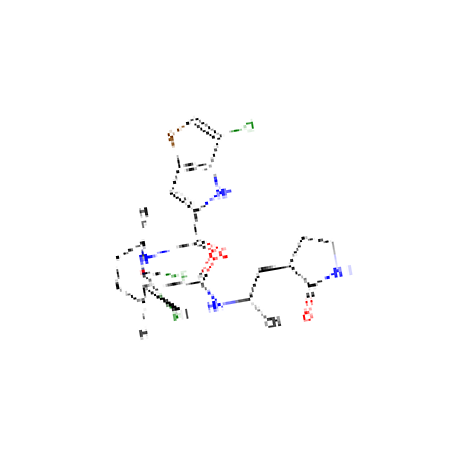 N#C[C@@H](C[C@H]1CCNC1=O)NC(=O)[C@@H]1[C@H]2CC[C@H](CC2(F)F)N1C(=O)c1cc2scc(Cl)c2[nH]1